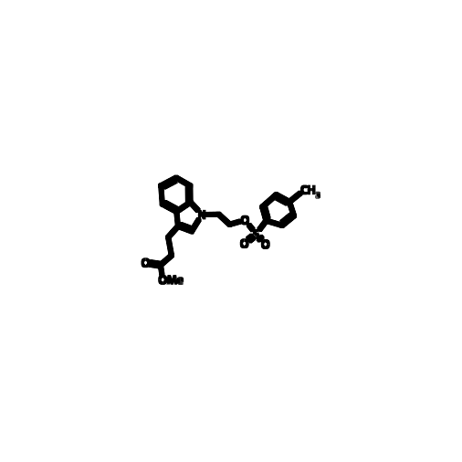 COC(=O)CCc1cn(CCOS(=O)(=O)c2ccc(C)cc2)c2ccccc12